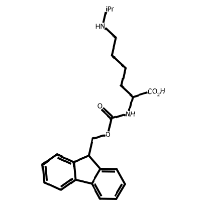 CC(C)NCCCCC(NC(=O)OCC1c2ccccc2-c2ccccc21)C(=O)O